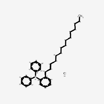 CCCCCCCCCCCCCCCc1ccccc1P(c1ccccc1)c1ccccc1.[C]